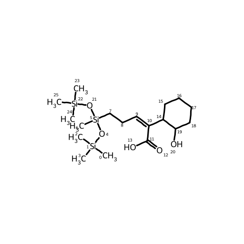 C[Si](C)(C)O[Si](C)(CCC=C(C(=O)O)C1CCCCC1O)O[Si](C)(C)C